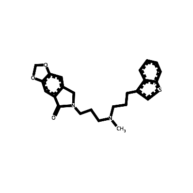 CN(CCCc1csc2ccccc12)CCCN1Cc2cc3c(cc2C1=O)OCO3